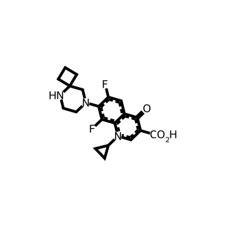 O=C(O)c1cn(C2CC2)c2c(F)c(N3CCNC4(CCC4)C3)c(F)cc2c1=O